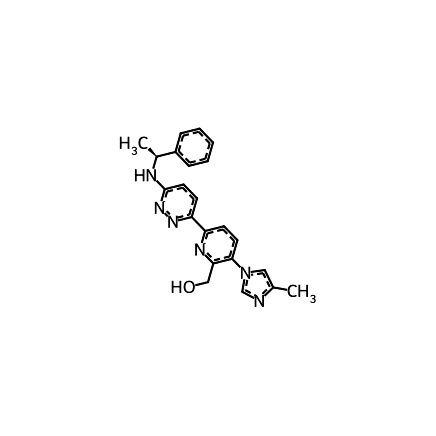 Cc1cn(-c2ccc(-c3ccc(N[C@@H](C)c4ccccc4)nn3)nc2CO)cn1